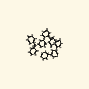 c1ccc(-c2cccc(-c3cccc4nc(-c5ccccc5)c(-c5ccc(N(c6ccccc6)c6ccccc6)cc5)nc34)c2)cc1